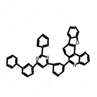 c1ccc(-c2cccc(-c3cc(-c4cccc(-c5nc6ccccc6c6c5ccc5c7ccccc7oc56)c4)nc(-c4ccccc4)n3)c2)cc1